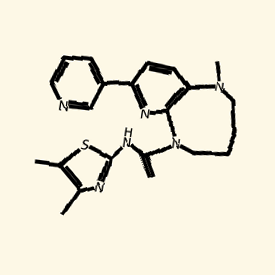 C=C(Nc1nc(C)c(C)s1)N1CCCCN(C)c2ccc(-c3cccnc3)nc21